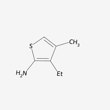 [CH2]Cc1c(C)csc1N